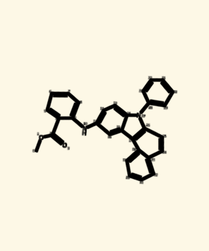 COC(=O)c1ccccc1Nc1ccc2c(c1)c1c3ccccc3ccc1n2-c1ccccc1